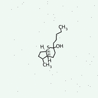 CCCCCC1(O)CC[C@@H]2C(C)CC[C@H]2S1